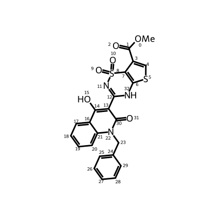 COC(=O)c1csc2c1S(=O)(=O)N=C(c1c(O)c3ccccc3n(Cc3ccccc3)c1=O)N2